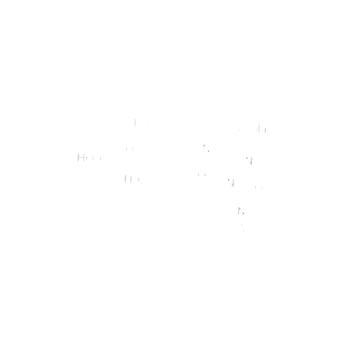 CCCOc1nc(Oc2ccsn2)nc2oc(-c3cc(C)c(OCC(=O)O)c(C)c3)nc12